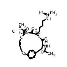 COC(=O)[C@@H]1C/C=C\COc2ccc(cc2)C[C@H](NC(C)=O)C(=O)N[C@@H](CCCCN[N+](C)=N)C(=O)N1.[Cl-]